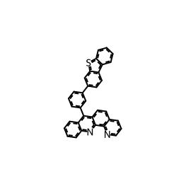 c1cc(-c2ccc3c(c2)sc2ccccc23)cc(-c2c3ccccc3nc3c2ccc2cccnc23)c1